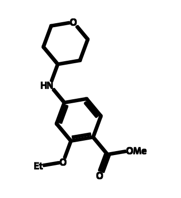 CCOc1cc(NC2CCOCC2)ccc1C(=O)OC